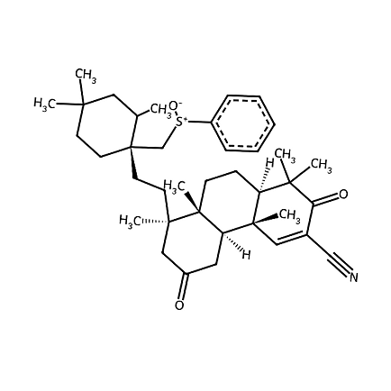 CC1CC(C)(C)CC[C@@]1(CC[C@]1(C)CC(=O)C[C@@H]2[C@@]3(C)C=C(C#N)C(=O)C(C)(C)[C@@H]3CC[C@]21C)C[S+]([O-])c1ccccc1